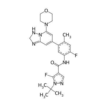 Cc1cc(F)c(NC(=O)c2cnn(C(C)(C)C)c2F)cc1C1=CC2=NCNN2C(N2CCOCC2)=C1